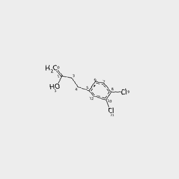 C=C(O)CCc1ccc(Cl)c(Cl)c1